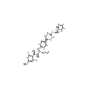 Cc1cc(C#N)cc(C)c1C(=O)NC(Cc1ccc(N2CCC(CNc3ccccn3)CC2)cc1)C(=O)O